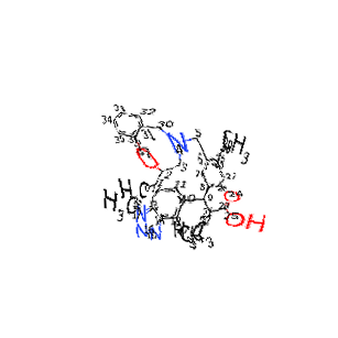 CCC1CN(Cc2cc([C@H](c3ccc4c(nnn4C)c3C)[C@@H](C)C(=O)O)ccc2C)Cc2ccccc2O1